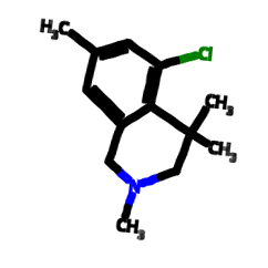 Cc1cc(Cl)c2c(c1)CN(C)CC2(C)C